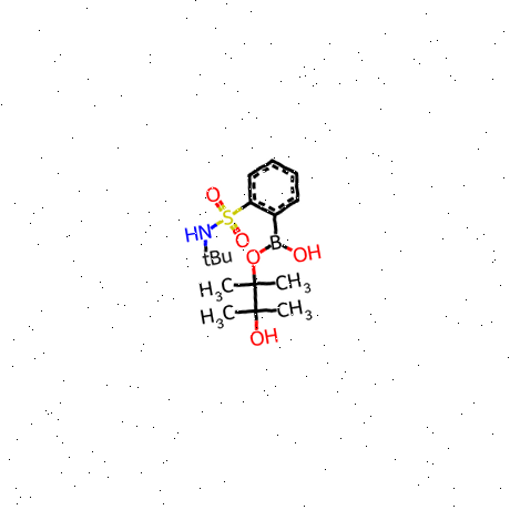 CC(C)(C)NS(=O)(=O)c1ccccc1B(O)OC(C)(C)C(C)(C)O